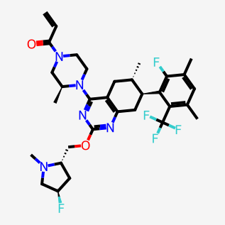 C=CC(=O)N1CCN(c2nc(OC[C@@H]3C[C@@H](F)CN3C)nc3c2C[C@H](C)[C@@H](c2c(F)c(C)cc(C)c2C(F)(F)F)C3)[C@@H](C)C1